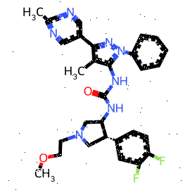 COCCN1CC(NC(=O)Nc2c(C)c(-c3cnc(C)nc3)nn2-c2ccccc2)[C@H](c2ccc(F)c(F)c2)C1